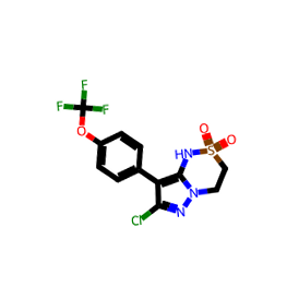 O=S1(=O)CCn2nc(Cl)c(-c3ccc(OC(F)(F)F)cc3)c2N1